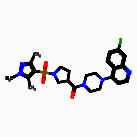 Cc1nn(C)c(C)c1S(=O)(=O)N1CCC(C(=O)N2CCN(c3ccnc4cc(F)ccc34)CC2)C1